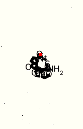 CCCCOC1=C2c3c4cccc3[N+]3(CCCOC5=C1[N+]1(CCCOC5(N)C2C4=O)CCOCC1)CCOCC3